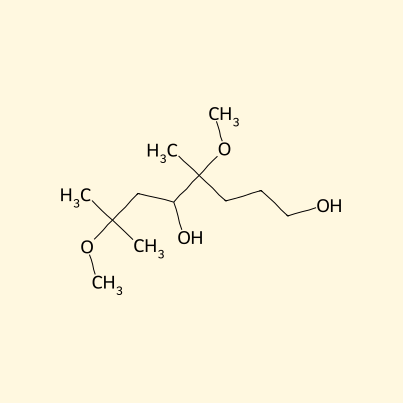 COC(C)(C)CC(O)C(C)(CCCO)OC